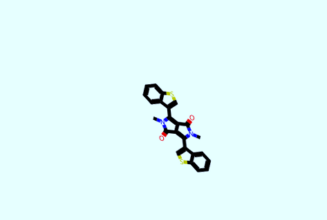 CN1C(=O)C2=C(c3csc4ccccc34)N(C)C(=O)C2=C1c1csc2ccccc12